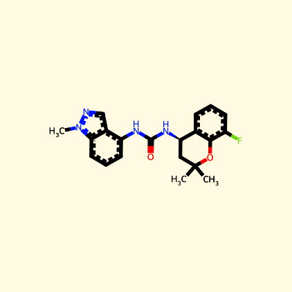 Cn1ncc2c(NC(=O)N[C@@H]3CC(C)(C)Oc4c(F)cccc43)cccc21